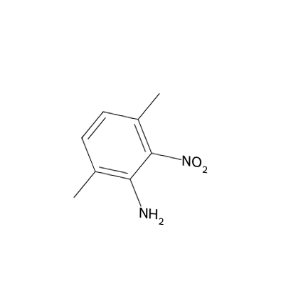 Cc1ccc(C)c([N+](=O)[O-])c1N